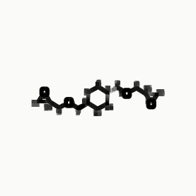 C(OC[C@H]1CC[C@H](COCC2CO2)CC1)C1CO1